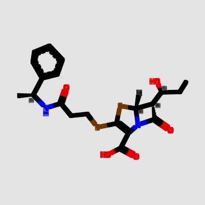 CC[C@H](O)[C@@H]1C(=O)N2C(C(=O)O)=C(SCCC(=O)N[C@@H](C)c3ccccc3)S[C@H]12